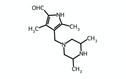 Cc1[nH]c(C=O)c(C)c1CN1CC(C)NC(C)C1